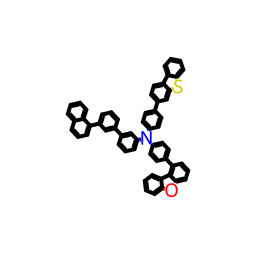 c1cc(-c2cccc(N(c3ccc(-c4ccc5c(c4)sc4ccccc45)cc3)c3ccc(-c4cccc5oc6ccccc6c45)cc3)c2)cc(-c2cccc3ccccc23)c1